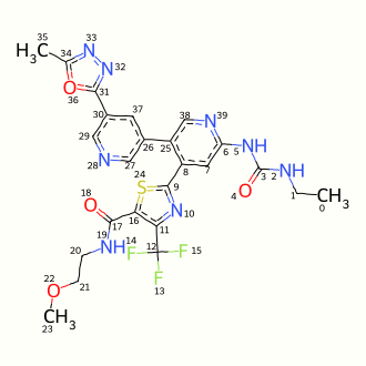 CCNC(=O)Nc1cc(-c2nc(C(F)(F)F)c(C(=O)NCCOC)s2)c(-c2cncc(-c3nnc(C)o3)c2)cn1